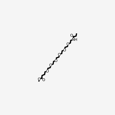 CCC(=O)NCCOCCOCCOCCOCCOCCOCCCC(=O)OC